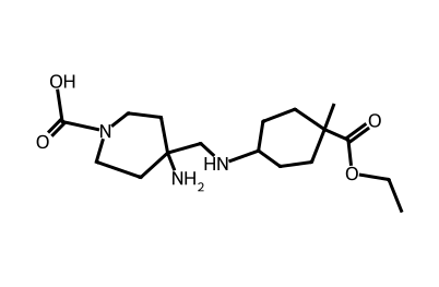 CCOC(=O)C1(C)CCC(NCC2(N)CCN(C(=O)O)CC2)CC1